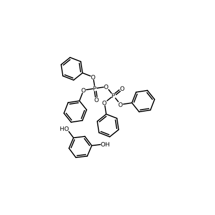 O=P(Oc1ccccc1)(Oc1ccccc1)OP(=O)(Oc1ccccc1)Oc1ccccc1.Oc1cccc(O)c1